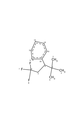 CC(C)(C)C(CC(F)(F)F)c1ccccc1